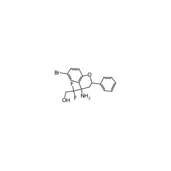 NC1(C(F)(F)CO)CC(c2ccccc2)Oc2ccc(Br)cc21